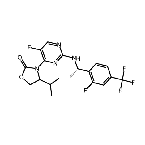 CC(C)C1COC(=O)N1c1nc(N[C@@H](C)c2ccc(C(F)(F)F)cc2F)ncc1F